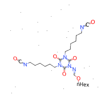 CCCCCCO/C=N/n1c(=O)n(CCCCCCN=C=O)c(=O)n(CCCCCCN=C=O)c1=O